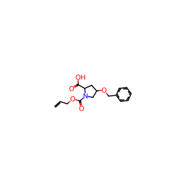 C=CCOC(=O)N1CC(OCc2ccccc2)CC1C(=O)O